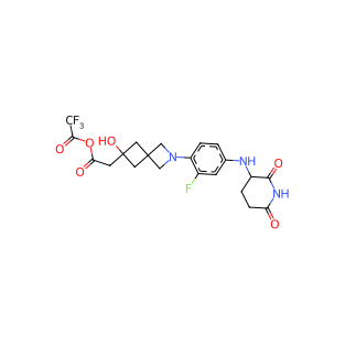 O=C1CCC(Nc2ccc(N3CC4(C3)CC(O)(CC(=O)OC(=O)C(F)(F)F)C4)c(F)c2)C(=O)N1